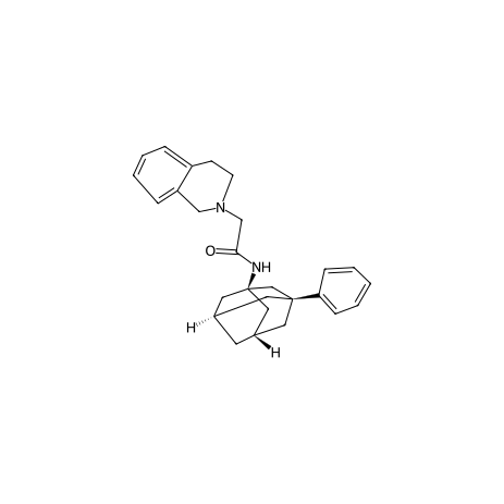 O=C(CN1CCc2ccccc2C1)N[C@@]12C[C@H]3C[C@@H](C1)C[C@@](c1ccccc1)(C3)C2